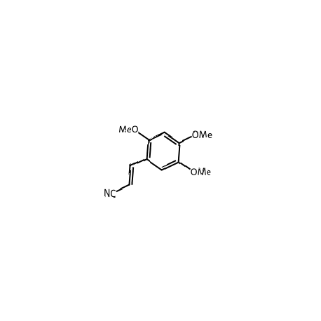 COc1cc(OC)c(OC)cc1C=CC#N